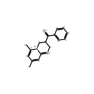 CC1=CC2=NCC(C(=O)c3ccccc3)CN2C(C)=C1